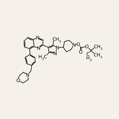 Cc1nn(C2CCN(OC(=O)OC(C)(C)C)CC2)c(C)c1-c1cnc2cccc(-c3ccc(CN4CCOCC4)cc3)c2n1